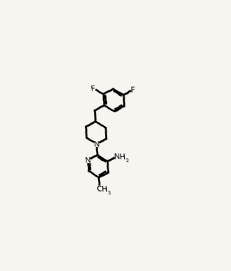 Cc1cnc(N2CCC(Cc3ccc(F)cc3F)CC2)c(N)c1